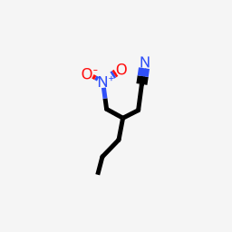 CCCC(CC#N)C[N+](=O)[O-]